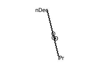 CCCCCCCCCCCCCCCCCCCCCCCCCCCCOCCOC(=O)CCCCCCCCCCCCCCC(C)C